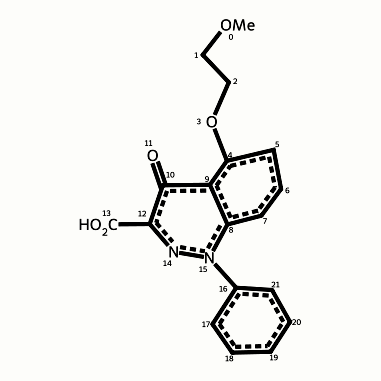 COCCOc1cccc2c1c(=O)c(C(=O)O)nn2-c1ccccc1